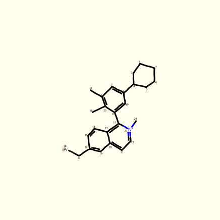 Cc1cc(C2CCCCC2)cc(-c2c3ccc(CC(C)C)cc3cc[n+]2C)c1C